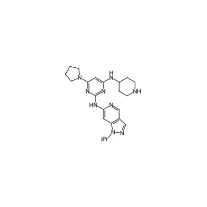 CC(C)n1ncc2cnc(Nc3nc(NC4CCNCC4)cc(N4CCCC4)n3)cc21